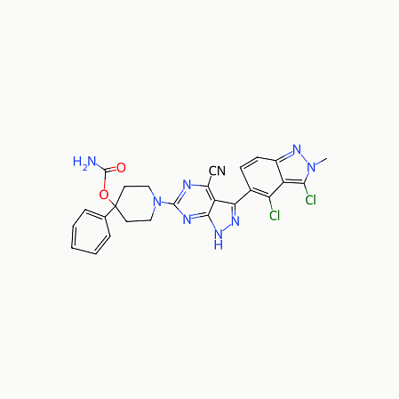 Cn1nc2ccc(-c3n[nH]c4nc(N5CCC(OC(N)=O)(c6ccccc6)CC5)nc(C#N)c34)c(Cl)c2c1Cl